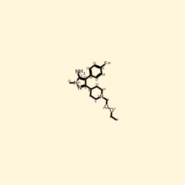 CCOOCN1CCC(c2nn(C)c(N)c2-c2ccc(F)cc2)CC1